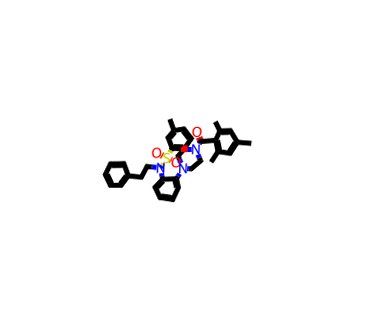 Cc1cccc(S(=O)(=O)N(CCc2ccccc2)c2ccccc2N2CCN(C(=O)c3c(C)cc(C)cc3C)CC2)c1